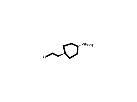 [Li][CH2]C[C@H]1CC[C@H](CCCCC)CC1